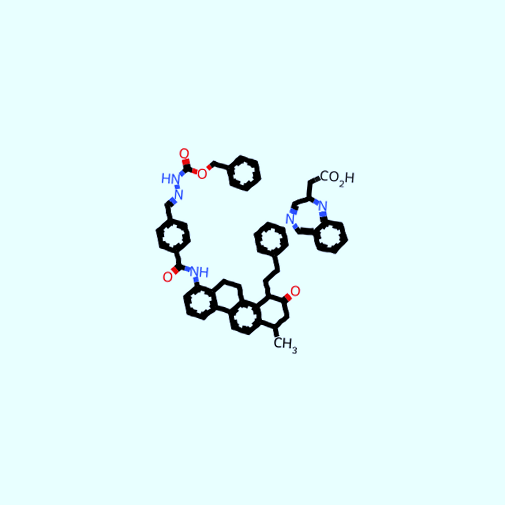 CC1CC(=O)C(CCc2ccccc2)c2c1ccc1c2CCc2c(NC(=O)c3ccc(C=NNC(=O)OCc4ccccc4)cc3)cccc2-1.O=C(O)CC1C=NC=c2ccccc2=N1